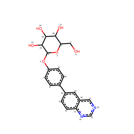 OCC1OC(Oc2ccc(-c3ccc4ncncc4c3)cc2)C(O)C(O)C1O